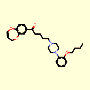 CCCCOc1ccccc1N1CCN(CCCCC(=O)c2ccc3c(c2)OCC=CO3)CC1